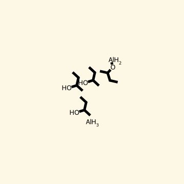 CCC(C)O.CCC(C)O.CCC(C)O.CCC(C)[O][AlH2].[AlH3]